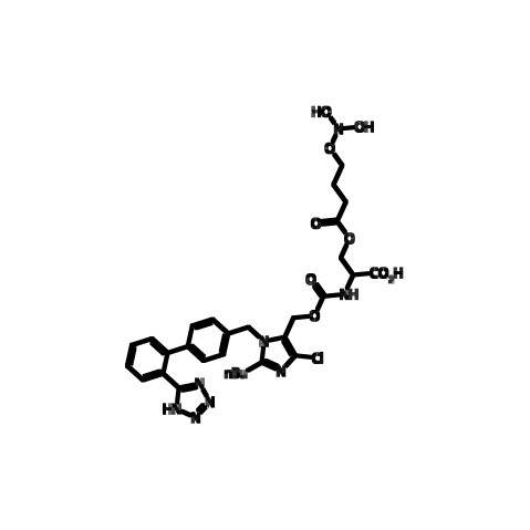 CCCCc1nc(Cl)c(COC(=O)NC(COC(=O)CCCON(O)O)C(=O)O)n1Cc1ccc(-c2ccccc2-c2nnn[nH]2)cc1